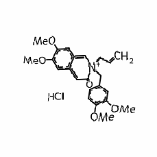 C=CC[N+]1(Cc2ccc(OC)c(OC)c2)C=c2cc(OC)c(OC)cc2=CC1=O.Cl